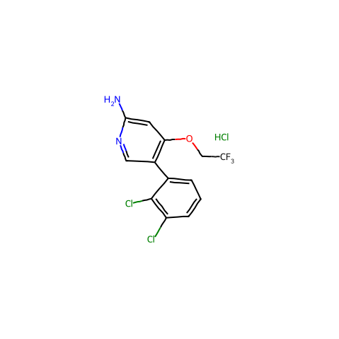 Cl.Nc1cc(OCC(F)(F)F)c(-c2cccc(Cl)c2Cl)cn1